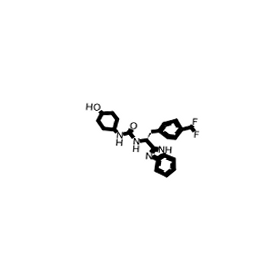 O=C(NC1CCC(O)CC1)N[C@H](Cc1ccc(C(F)F)cc1)c1nc2ccccc2[nH]1